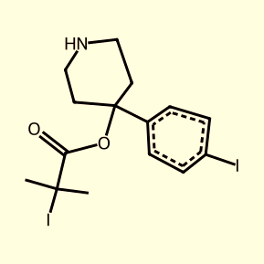 CC(C)(I)C(=O)OC1(c2ccc(I)cc2)CCNCC1